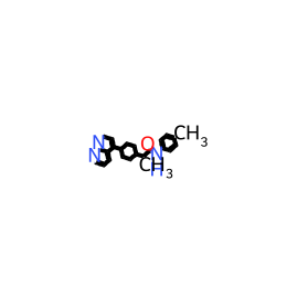 Cc1ccc(NC(=O)C(C)C2CCC(c3ccnc4ncccc34)CC2)cc1